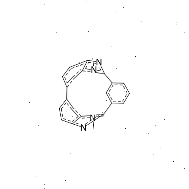 Cn1c2nc3ccc(cc31)-c1ccc3nc(n(C)c3c1)-c1cccc-2c1